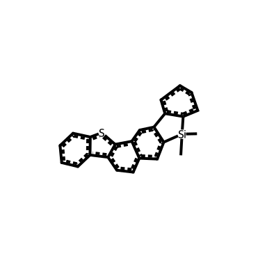 C[Si]1(C)c2ccccc2-c2cc3c(ccc4c5ccccc5sc34)cc21